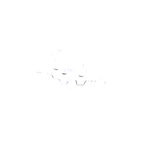 COCCOc1cc2c(N[C@H](C)c3cccc(C(F)(F)C4CCCO4)c3F)nc(C)nc2cc1OC